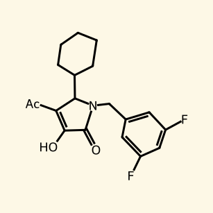 CC(=O)C1=C(O)C(=O)N(Cc2cc(F)cc(F)c2)C1C1CCCCC1